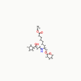 COC(=O)CCCCCCC(COC1CCCCO1)NCCC(O)C1CCCC1